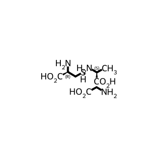 C[C@H](N)C(=O)O.NCC(=O)O.N[C@@H](CS)C(=O)O